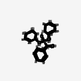 O=C(c1ccccc1)P(=O)(OC1=CCCC=C1)Oc1ccccc1